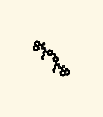 C=CCC/C(=N\OC(=O)N1CCCN2CCCN=C21)c1ccc(Sc2ccc(/C(CCC=C)=N/OC(=O)N3CCCN4CCCN=C43)cc2)cc1